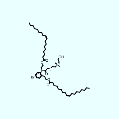 CCCCCCCC/C=C\CCCCCCCC(=O)OCCc1ccccc1N(CCOC(=O)CCCCCCC/C=C\CCCCCCCC)C(=O)CSCC[N+](C)(C)CCO.[Br-]